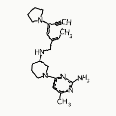 C#C/C(=C\C(=C/C)CN[C@@H]1CCCN(c2cc(C)nc(N)n2)C1)N1CCCC1